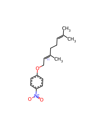 CC(C)=CCC/C(C)=C/COc1ccc([N+](=O)[O-])cc1